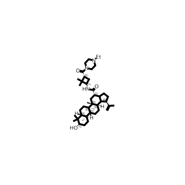 C=C(C)[C@@H]1CCC2C1[C@H]1CC[C@@H]3[C@@]4(C)CC[C@H](O)C(C)(C)[C@@H]4CC[C@@]3(C)[C@]1(C)C[C@@H]2C(=O)N[C@H]1C[C@@H](C(=O)N2CCN(CC)CC2)C1(C)C